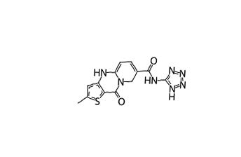 Cc1cc2c(s1)C(=O)N1CC(C(=O)Nc3nnn[nH]3)=CC=C1N2